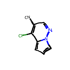 [C-]#[N+]c1cnn2cccc2c1Cl